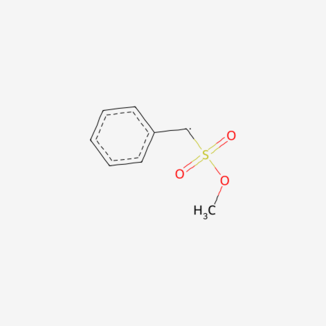 COS(=O)(=O)[CH]c1ccccc1